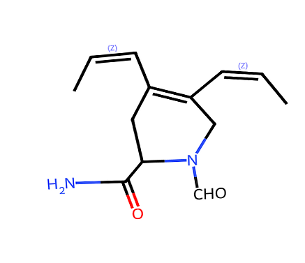 C/C=C\C1=C(/C=C\C)CN(C=O)C(C(N)=O)C1